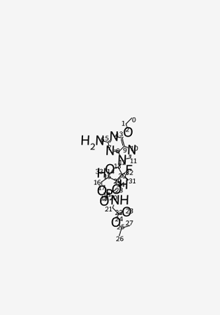 CCOc1nc(N)nc2c1ncn2[C@@H]1O[C@@H]2CO[P@](=O)(NCC(=O)OC(C)C)O[C@H]2[C@@]1(C)F